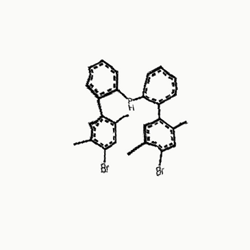 Cc1cc(-c2ccccc2Pc2ccccc2-c2cc(C)c(Br)cc2C)c(C)cc1Br